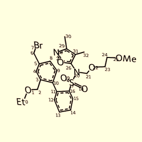 CCOCc1cc(CBr)ccc1-c1ccccc1S(=O)(=O)N(COCCOC)c1onc(C)c1C